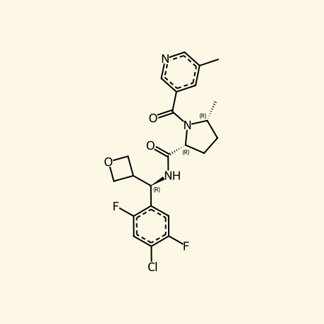 Cc1cncc(C(=O)N2[C@H](C)CC[C@@H]2C(=O)N[C@@H](c2cc(F)c(Cl)cc2F)C2COC2)c1